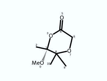 CO[C@]1(C)OC(=O)COC1(C)C